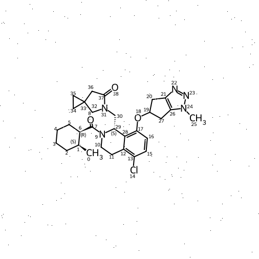 C[C@H]1CCCC[C@H]1C(=O)N1CCc2c(Cl)ccc(OC3Cc4nnn(C)c4C3)c2[C@H]1CN1CC2(CC2)CC1=O